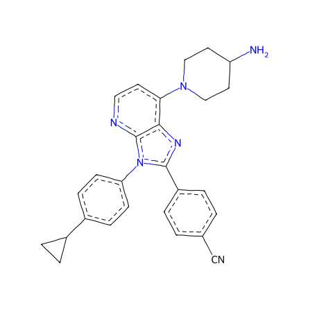 N#Cc1ccc(-c2nc3c(N4CCC(N)CC4)ccnc3n2-c2ccc(C3CC3)cc2)cc1